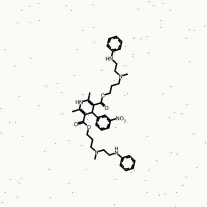 CC1=C(C(=O)OCCCN(C)CCNc2ccccc2)C(c2cccc([N+](=O)[O-])c2)C(C(=O)OCCCN(C)CCNc2ccccc2)=C(C)N1